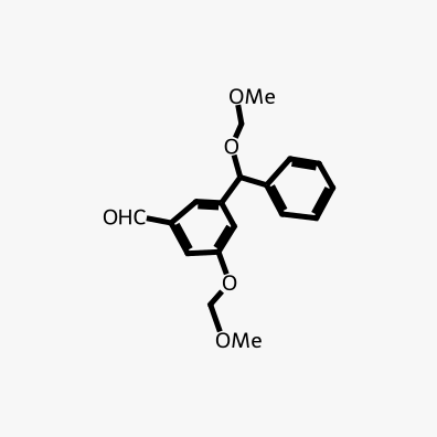 COCOc1cc(C=O)cc(C(OCOC)c2ccccc2)c1